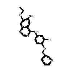 CCOc1cc2ncnc(Nc3ccc(OCc4cccnc4)c(Cl)c3)c2cc1N